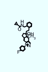 CC12Cc3cnn(-c4ccc(F)cc4)c3C=C1CC[C@@]2(O)CCc1ccccc1CNC(=O)C1CC1